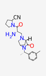 Cc1cccc([C@H](C)N2C(=O)[C@@H]3CC2CN3C[C@H](N)C(=O)N2CCC[C@H]2C#N)c1